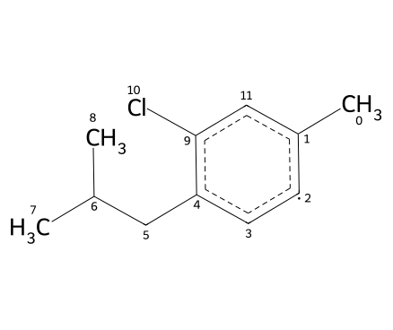 Cc1[c]cc(CC(C)C)c(Cl)c1